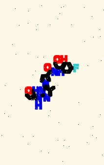 CC1=CN=C(N[C@H]2CCOC2)N[C@H]1n1ccc(C(=O)NC(CO)c2ccc(F)cc2)c1